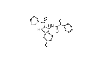 O=C(c1ccccc1)c1[nH]c2cc(Cl)ccc2c1NC(=O)C(Cl)c1ccccc1